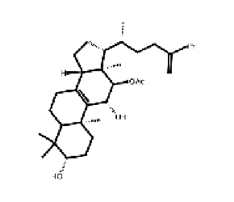 C=C(CC[C@@H](C)[C@H]1CC[C@H]2C3=C([C@@H](O)[C@H](OC(C)=O)[C@]12C)[C@@]1(C)CC[C@H](O)C(C)(C)C1CC3)C(C)C